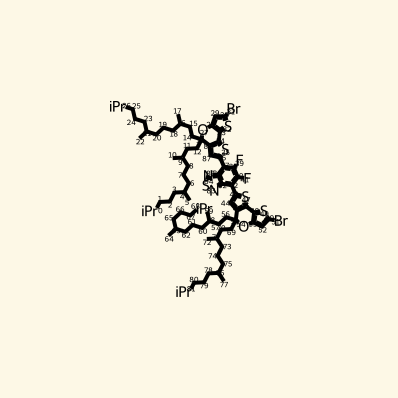 CC(C)CCCC(C)CCCC(C)CCC1(CCC(C)CCCC(C)CCCC(C)C)Oc2cc(Br)sc2-c2sc(-c3c(F)c(F)c(-c4cc5c(s4)-c4sc(Br)cc4OC5(CCC(C)CCCC(C)CCCC(C)C)CCC(C)CCCC(C)CCCC(C)C)c4nsnc34)cc21